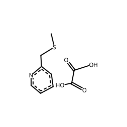 CSCc1ccccn1.O=C(O)C(=O)O